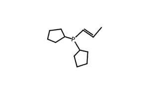 CC=CP(C1CCCC1)C1CCCC1